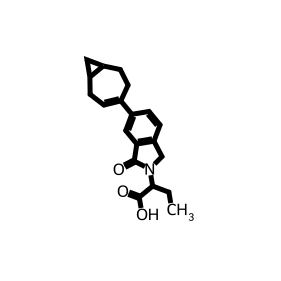 CCC(C(=O)O)N1Cc2ccc(C3=CCC4CC4CC3)cc2C1=O